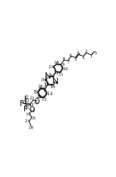 CCCCCCCCCc1ccc(-c2ncc(-c3ccc(OCC(OCCCC)C(F)(F)F)cc3)cn2)cc1